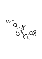 COc1ccc(C2Sc3ccccc3N(CCN(C)CCc3ccc4c(c3)OCO4)C(=O)C2OC(C)=O)cc1